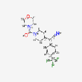 N#CC(=C1CCN(C(=O)N2CCOCC2)CC1)c1ccc(C(F)(F)F)cc1